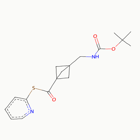 CC(C)(C)OC(=O)NCC12CC(C(=O)Sc3ccccn3)(C1)C2